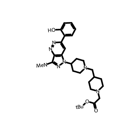 CNc1nn(C2CCN(CC3CCN(CC(=O)OC(C)(C)C)CC3)CC2)c2cc(-c3ccccc3O)nnc12